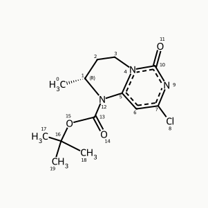 C[C@@H]1CCn2c(cc(Cl)nc2=O)N1C(=O)OC(C)(C)C